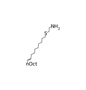 CCCCCCCCC=CCCCCCCCCSCCN